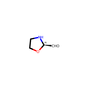 O=C[C@@H]1NCCO1